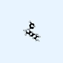 CCC(Nc1cnc(C(N)=O)c(Nc2cncc(Cl)c2)n1)C(N)=O